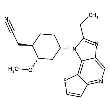 CCc1nc2cnc3ccsc3c2n1[C@H]1CC[C@H](CC#N)[C@@H](OC)C1